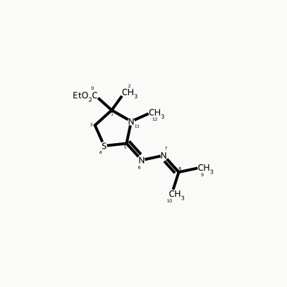 CCOC(=O)C1(C)CS/C(=N/N=C(C)C)N1C